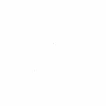 Cc1cc(S(C)(=O)=O)ccc1-c1cccc(-c2cc(C(C)(C)S(C)(=O)=O)cc3cccnc23)c1